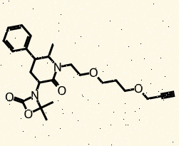 C#CCOCCCOCCN1C(=O)C(N2C(=O)OC2(C)C)CC(c2ccccc2)C1C